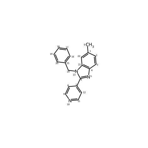 Cc1ccc2nc(-c3ccncc3)n(Cc3ccccc3)c2c1